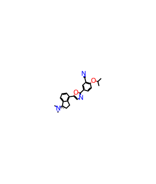 CC(C)Oc1ccc(-c2ncc(-c3cccc4c3CC[C@H]4N(C)C)o2)cc1C#N